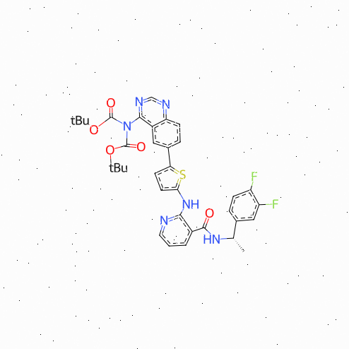 C[C@H](NC(=O)c1cccnc1Nc1ccc(-c2ccc3ncnc(N(C(=O)OC(C)(C)C)C(=O)OC(C)(C)C)c3c2)s1)c1ccc(F)c(F)c1